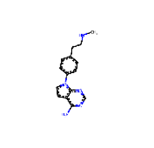 CNCCc1ccc(-n2ccc3c(N)ncnc32)cc1